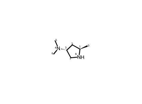 C[C@@H]1C[C@@H](N(C)C)CN1